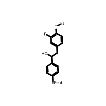 CCCCCc1ccc(C(O)Cc2ccc(OCC)c(F)c2)cc1